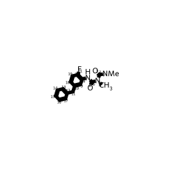 CNC(=O)N(C)C(=O)Nc1cc(Cc2ccccc2)ccc1F